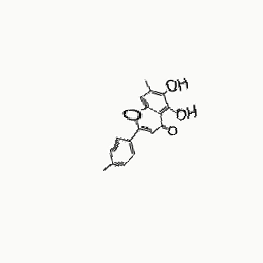 Cc1ccc(-c2cc(=O)c3c(O)c(O)c(C)cc3o2)cc1